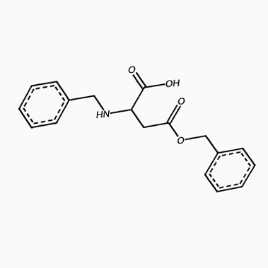 O=C(CC(NCc1ccccc1)C(=O)O)OCc1ccccc1